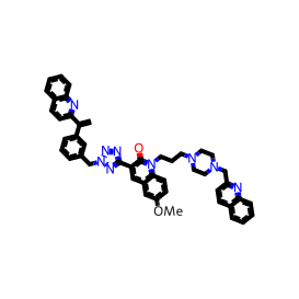 C=C(c1cccc(Cn2nnc(-c3cc4cc(OC)ccc4n(CCCN4CCN(Cc5ccc6ccccc6n5)CC4)c3=O)n2)c1)c1ccc2ccccc2n1